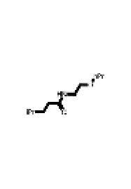 CCCOCCNC(=O)CCC(C)C